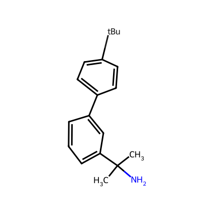 CC(C)(C)c1ccc(-c2cccc(C(C)(C)N)c2)cc1